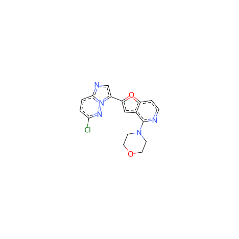 Clc1ccc2ncc(-c3cc4c(N5CCOCC5)nccc4o3)n2n1